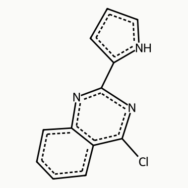 Clc1nc(-c2ccc[nH]2)nc2ccccc12